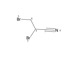 N#CC(Br)[CH]Br